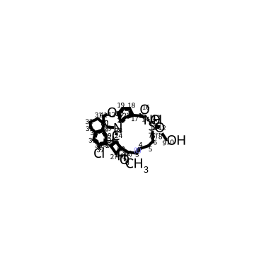 CO[C@H]1/C=C/CC[C@@H](CCO)S(=O)(=O)NC(=O)c2ccc3c(c2)N(C[C@@H]2CC[C@H]21)C[C@@]1(CCCc2cc(Cl)ccc21)CO3